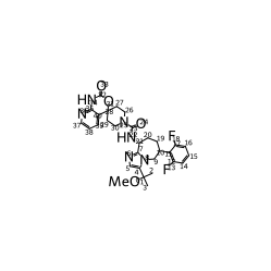 COC(C)(C)c1cnc2n1C[C@H](c1c(F)cccc1F)CC[C@H]2NC(=O)N1CCC2(CC1)OC(=O)Nc1ncccc12